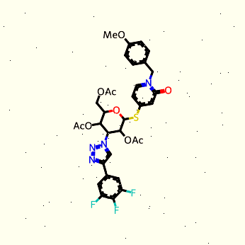 COc1ccc(Cn2ccc(SC3OC(COC(C)=O)C(OC(C)=O)C(n4cc(-c5cc(F)c(F)c(F)c5)nn4)C3OC(C)=O)cc2=O)cc1